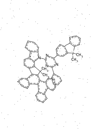 CC1(C)c2ccccc2-c2ccc(-c3nc(-c4ccccc4)nc(-n4c5ccccc5c5ccc6c(c54)C(C)(C)c4c-6c5ccccc5c5c6ccccc6c6ccccc6c45)n3)cc21